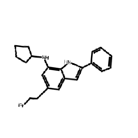 CC(C)CCc1cc(NC2CCCC2)c2[nH]c(-c3ccccc3)cc2c1